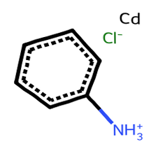 [Cd].[Cl-].[NH3+]c1ccccc1